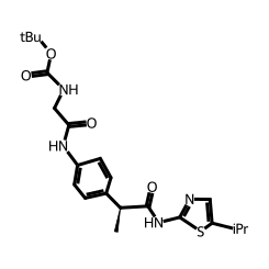 CC(C)c1cnc(NC(=O)[C@@H](C)c2ccc(NC(=O)CNC(=O)OC(C)(C)C)cc2)s1